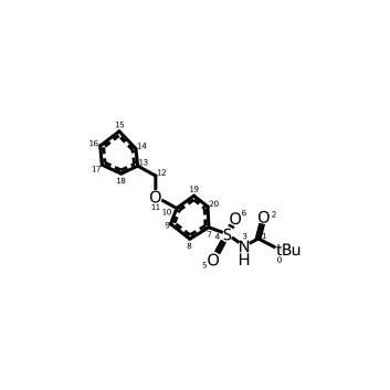 CC(C)(C)C(=O)NS(=O)(=O)c1ccc(OCc2ccccc2)cc1